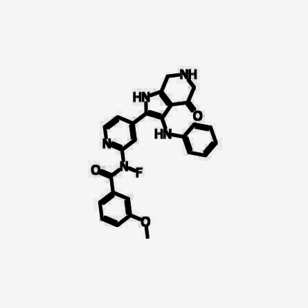 COc1cccc(C(=O)N(F)c2cc(-c3[nH]c4c(c3Nc3ccccc3)C(=O)CNC4)ccn2)c1